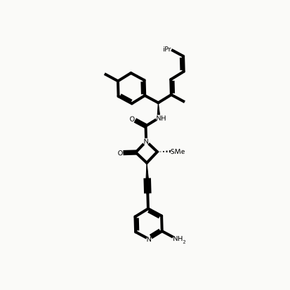 CS[C@@H]1[C@@H](C#Cc2ccnc(N)c2)C(=O)N1C(=O)N[C@@H](C1=CCC(C)C=C1)/C(C)=C/C=C\C(C)C